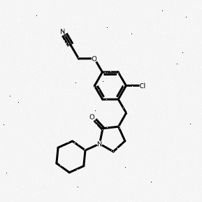 N#CCOc1ccc(CC2CCN(C3CCCCC3)C2=O)c(Cl)c1